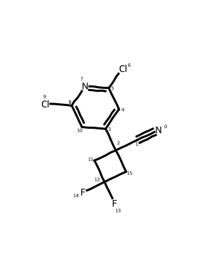 N#CC1(c2cc(Cl)nc(Cl)c2)CC(F)(F)C1